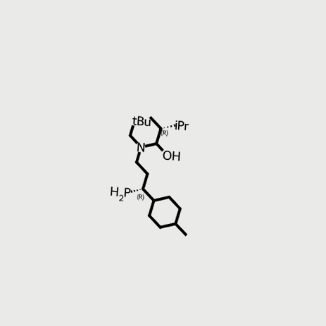 CC1CCC([C@H](P)CCN(CC(C)(C)C)C(O)[C@H](C)C(C)C)CC1